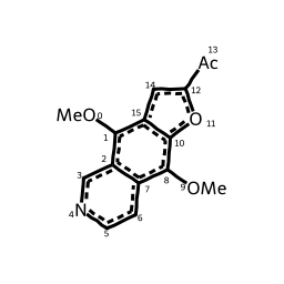 COc1c2cnccc2c(OC)c2oc(C(C)=O)cc12